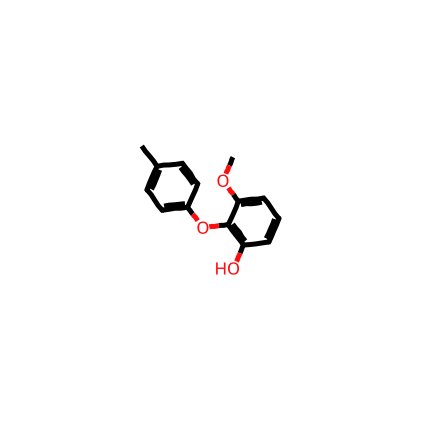 COc1cccc(O)c1Oc1ccc(C)cc1